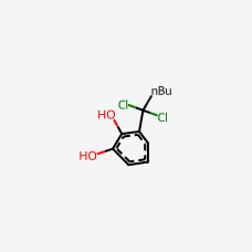 CCCCC(Cl)(Cl)c1cccc(O)c1O